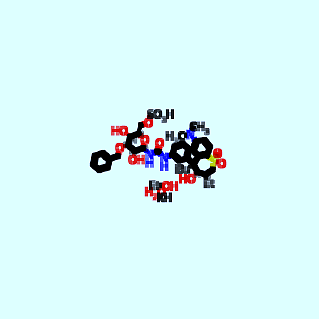 CCC(C)[C@@]1(c2cccc(NC(=O)N[C@@H]3O[C@H](COS(=O)(=O)O)[C@@H](O)[C@H](OCc4ccccc4)[C@H]3O)c2)c2cc(N(C)C)ccc2S(=O)(=O)C[C@@H](CC)[C@H]1O.CCO.O.[KH]